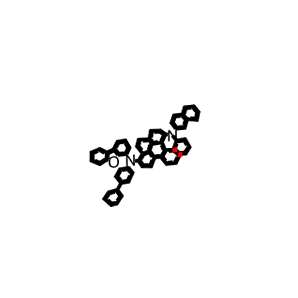 c1ccc(-c2ccc(N(c3ccc4c5ccccc5c5c(N(c6ccccc6)c6ccc7ccccc7c6)ccc6ccc3c4c65)c3cccc4c3oc3ccccc34)cc2)cc1